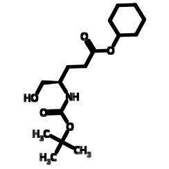 CC(C)(C)OC(=O)N[C@@H](CO)CCC(=O)OC1CCCCC1